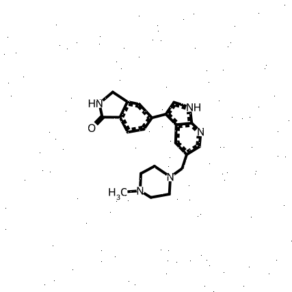 CN1CCN(Cc2cnc3[nH]cc(-c4ccc5c(c4)CNC5=O)c3c2)CC1